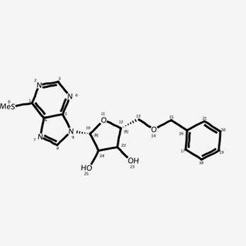 CSc1ncnc2c1ncn2[C@@H]1O[C@H](COCc2ccccc2)C(O)C1O